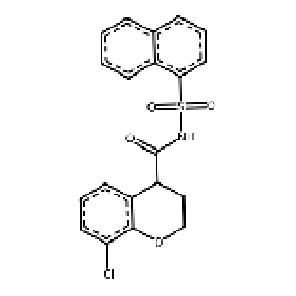 O=C(NS(=O)(=O)c1cccc2ccccc12)C1CCOc2c(Cl)cccc21